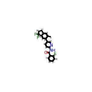 Cc1cc2c(cc1-c1ccc(NC(=O)c3ccccc3F)nc1)C(F)(F)CC2